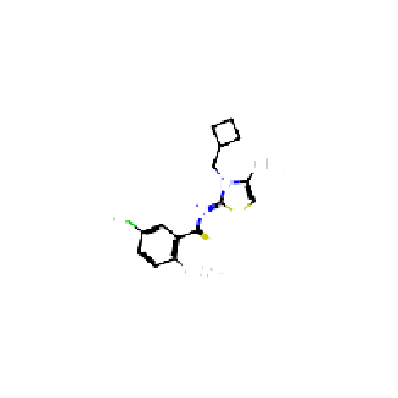 COc1ccc(Cl)cc1C(=S)/N=c1\scc(C)n1CC1CCC1